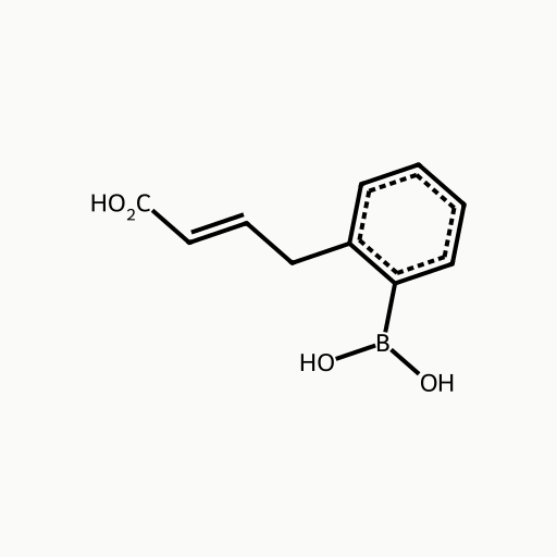 O=C(O)C=CCc1ccccc1B(O)O